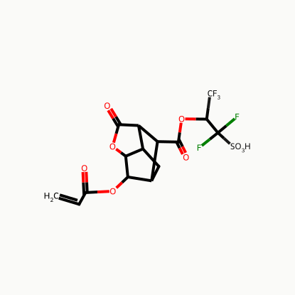 C=CC(=O)OC1C2CC3C1OC(=O)C3C2C(=O)OC(C(F)(F)F)C(F)(F)S(=O)(=O)O